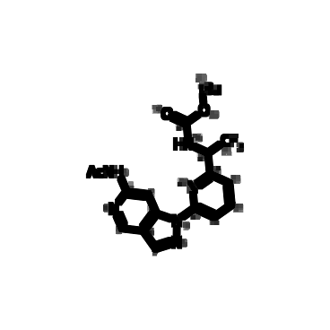 CC(=O)Nc1cc2c(cn1)cnn2-c1cccc(C(NC(=O)OC(C)(C)C)C(F)(F)F)n1